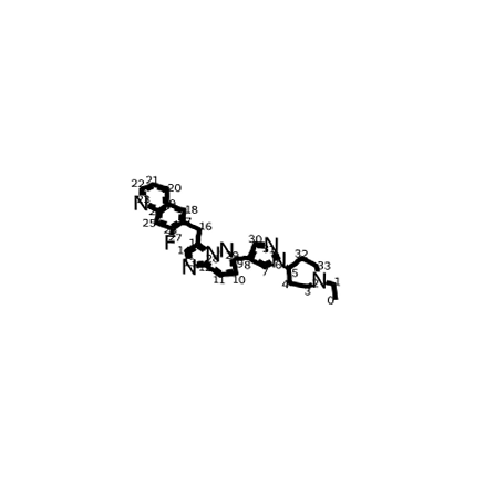 CCN1CCC(n2cc(-c3ccc4ncc(Cc5cc6cccnc6cc5F)n4n3)cn2)CC1